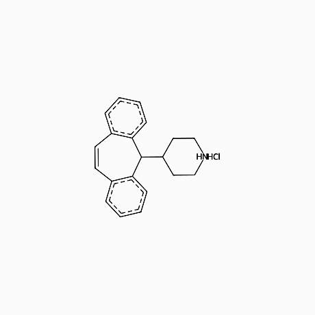 C1=Cc2ccccc2C(C2CCNCC2)c2ccccc21.Cl